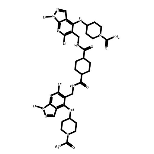 CCc1nc2c(cnn2CC)c(NC2CCN(C(N)=O)CC2)c1CNC(=O)C1CCC(C(=O)NCc2c(CC)nc3c(cnn3CC)c2NC2CCN(C(N)=O)CC2)CC1